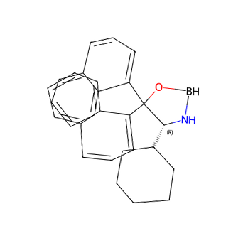 B1N[C@H](C2CCCCC2)C(c2cccc3ccccc23)(c2cccc3ccccc23)O1